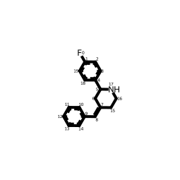 Fc1ccc(C2CC(=Cc3ccccc3)CCN2)cc1